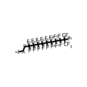 FC(F)(F)C(F)(C(F)(F)F)C(F)(F)C(F)(F)C(F)(F)C(F)(F)C(F)(F)C(F)(F)C(F)(F)C(F)(F)CCI